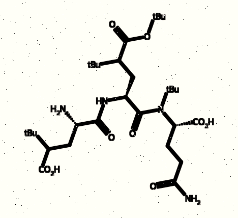 CC(C)(C)OC(=O)C(C[C@H](NC(=O)[C@@H](N)CC(C(=O)O)C(C)(C)C)C(=O)N([C@@H](CCC(N)=O)C(=O)O)C(C)(C)C)C(C)(C)C